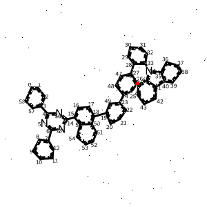 c1ccc(-c2nc(-c3ccccc3)nc(-c3ccc(-c4cccc(-c5ccc(-c6ccccc6-n6c7ccccc7c7ccccc76)cc5)c4)c4ccccc34)n2)cc1